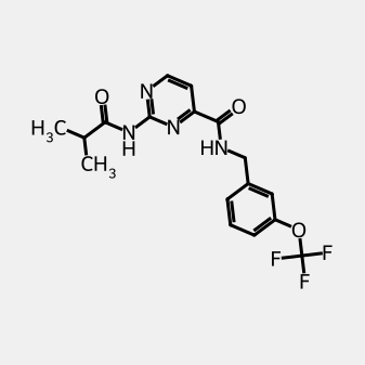 CC(C)C(=O)Nc1nccc(C(=O)NCc2cccc(OC(F)(F)F)c2)n1